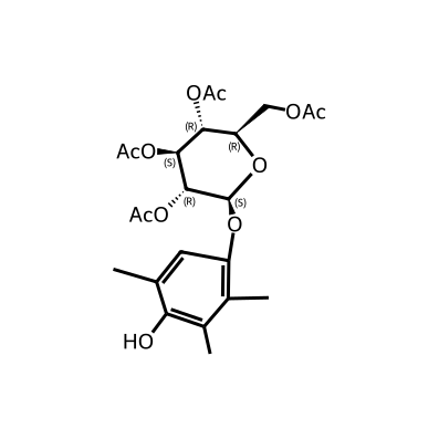 CC(=O)OC[C@H]1O[C@@H](Oc2cc(C)c(O)c(C)c2C)[C@H](OC(C)=O)[C@@H](OC(C)=O)[C@@H]1OC(C)=O